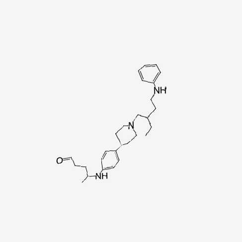 CCC(CCNc1ccccc1)CN1CCC(c2ccc(NC(C)CCC=O)cc2)CC1